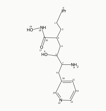 CC(C)CCC(CC(O)C(N)Cc1cccnc1)C(=O)NO